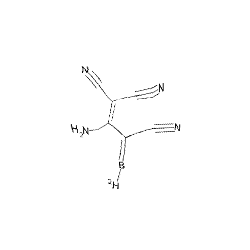 [2H]B=C(C#N)C(N)=C(C#N)C#N